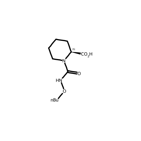 CCCCONC(=O)N1CCCC[C@H]1C(=O)O